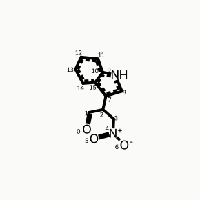 O=CC(C[N+](=O)[O-])c1c[nH]c2ccccc12